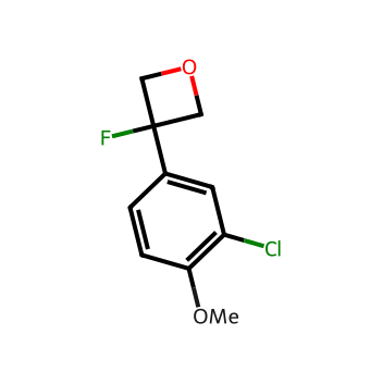 COc1ccc(C2(F)COC2)cc1Cl